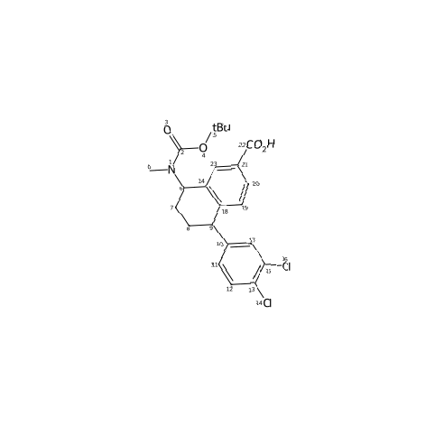 CN(C(=O)OC(C)(C)C)C1CCC(c2ccc(Cl)c(Cl)c2)c2ccc(C(=O)O)cc21